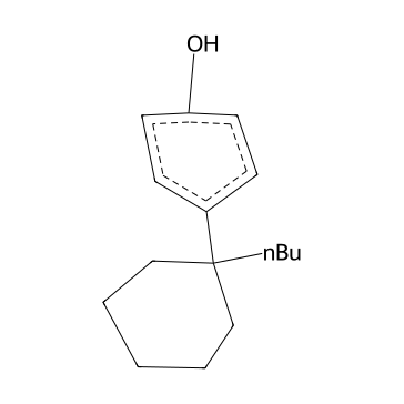 CCCCC1(c2ccc(O)cc2)CCCCC1